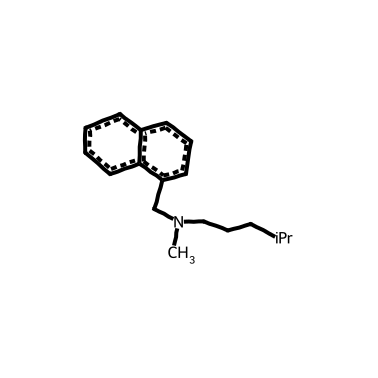 CC(C)CCCN(C)Cc1cccc2ccccc12